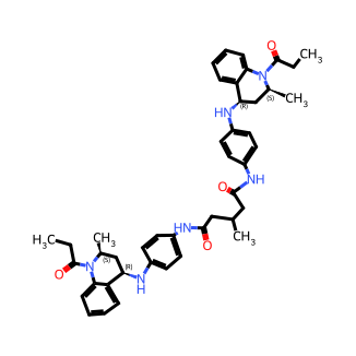 CCC(=O)N1c2ccccc2[C@H](Nc2ccc(NC(=O)CC(C)CC(=O)Nc3ccc(N[C@@H]4C[C@H](C)N(C(=O)CC)c5ccccc54)cc3)cc2)C[C@@H]1C